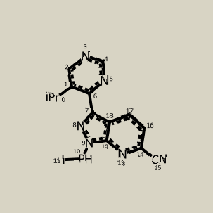 CC(C)c1cncnc1-c1nn(PI)c2nc(C#N)ccc12